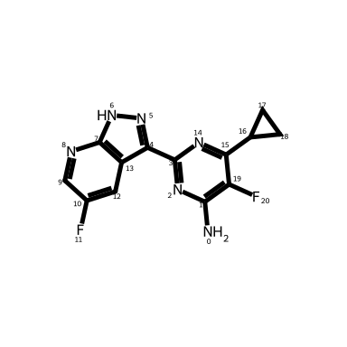 Nc1nc(-c2n[nH]c3ncc(F)cc23)nc(C2CC2)c1F